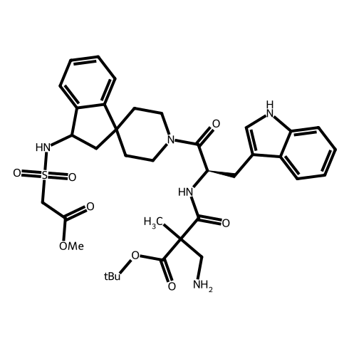 COC(=O)CS(=O)(=O)NC1CC2(CCN(C(=O)[C@@H](Cc3c[nH]c4ccccc34)NC(=O)C(C)(CN)C(=O)OC(C)(C)C)CC2)c2ccccc21